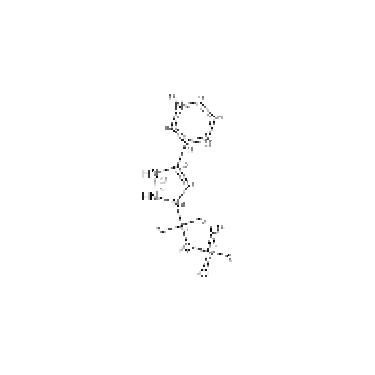 CC(C)(OS(C)(=O)=O)N1C=C(c2cccnc2)NN1